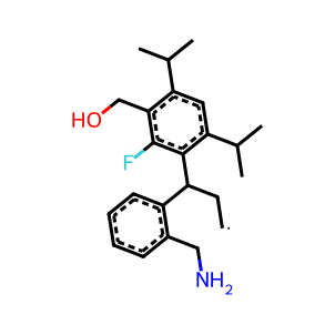 [CH2]CC(c1ccccc1CN)c1c(C(C)C)cc(C(C)C)c(CO)c1F